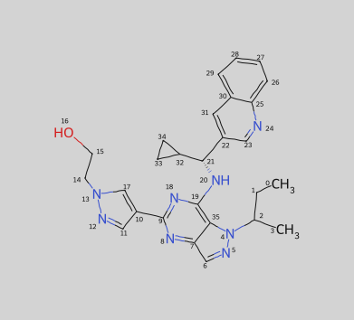 CCC(C)n1ncc2nc(-c3cnn(CCO)c3)nc(N[C@@H](c3cnc4ccccc4c3)C3CC3)c21